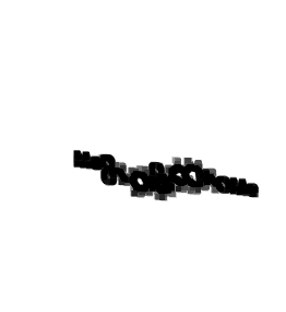 COCCN1CCc2ccc(N3CCN([C@H]4CC[C@H](CCC(=O)OC)CC4)C3=O)cc2CC1